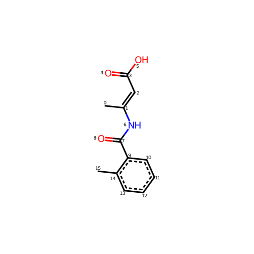 C/C(=C\C(=O)O)NC(=O)c1ccccc1C